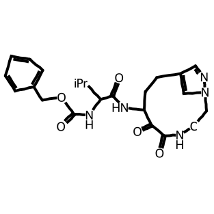 CC(C)C(NC(=O)OCc1ccccc1)C(=O)NC1CCc2cnn(c2)CCNC(=O)C1=O